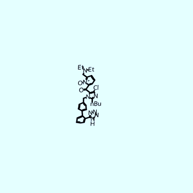 CCCCc1nc(Cl)c(C(=O)c2cccc(CN(CC)CC)[n+]2[O-])n1Cc1ccc(-c2ccccc2-c2nnn[nH]2)cc1